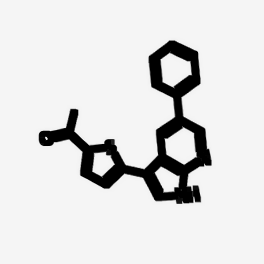 CC(=O)c1ccc(-c2c[nH]c3ncc(-c4ccccc4)cc23)s1